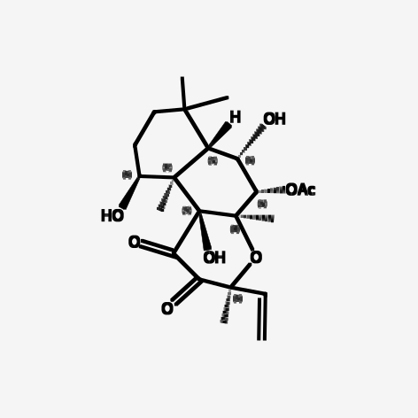 C=C[C@]1(C)O[C@]2(C)[C@@H](OC(C)=O)[C@@H](O)[C@H]3C(C)(C)CC[C@H](O)[C@]3(C)[C@@]2(O)C(=O)C1=O